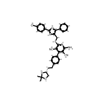 CC1(C)OC[C@@H](CCc2ccc(-c3c(C#N)c(N)nc(SCc4nc(-c5ccc(Cl)cc5)oc4-c4ccccc4)c3C#N)cc2)O1